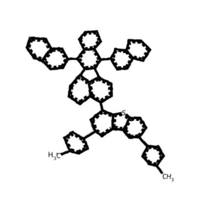 Cc1ccc(-c2ccc3sc4c(-c5ccc6c7c(cccc57)-c5c-6c(-c6ccc7ccccc7c6)c6ccccc6c5-c5ccc6ccccc6c5)cc(-c5ccc(C)cc5)cc4c3c2)cc1